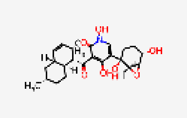 C[C@H]1CC[C@@H]2[C@@H](C(=O)c3c(O)c([C@]4(O)CC[C@H](O)[C@@H]5O[C@@H]54)cn(O)c3=O)[C@@H](C)C=C[C@H]2C1